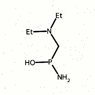 CCN(CC)CP(N)O